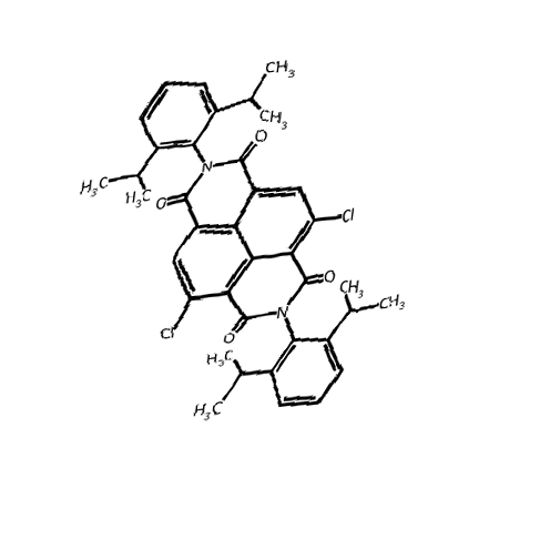 CC(C)c1cccc(C(C)C)c1N1C(=O)c2cc(Cl)c3c4c(c(Cl)cc(c24)C1=O)C(=O)N(c1c(C(C)C)cccc1C(C)C)C3=O